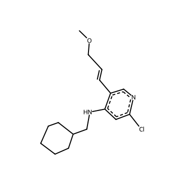 COC/C=C/c1cnc(Cl)cc1NCC1CCCCC1